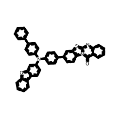 O=c1c2ccccc2nc2sc3cc(-c4ccc(N(c5ccc(-c6ccccc6)cc5)c5ccc6c(c5)oc5ccccc56)cc4)ccc3n12